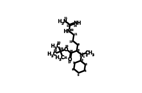 CN(C1CCCCC1)C(CCCNC(=N)N)C(=O)OC(C)(C)C